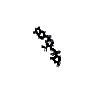 C=C(/C=C/S(=O)(=O)c1ccc(F)cc1F)/C(=N\C(=N/C)Nc1ccc2[nH]ncc2c1)NC